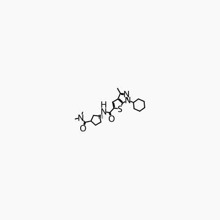 Cc1nn(C2CCCCC2)c2sc(C(=O)N[C@@H]3CCC(C(=O)N(C)C)C3)cc12